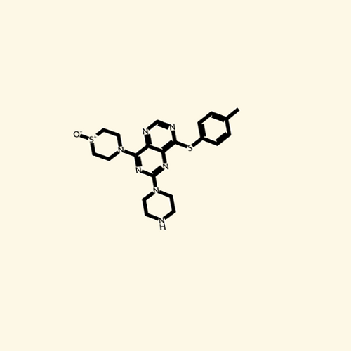 Cc1ccc(Sc2ncnc3c(N4CC[S+]([O-])CC4)nc(N4CCNCC4)nc23)cc1